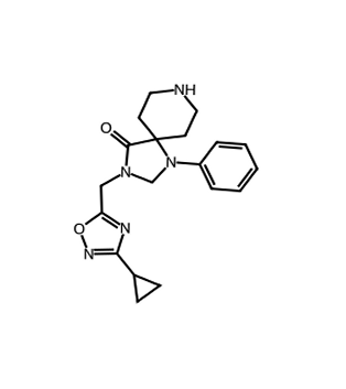 O=C1N(Cc2nc(C3CC3)no2)CN(c2ccccc2)C12CCNCC2